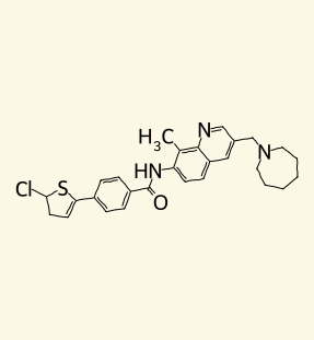 Cc1c(NC(=O)c2ccc(C3=CCC(Cl)S3)cc2)ccc2cc(CN3CCCCCC3)cnc12